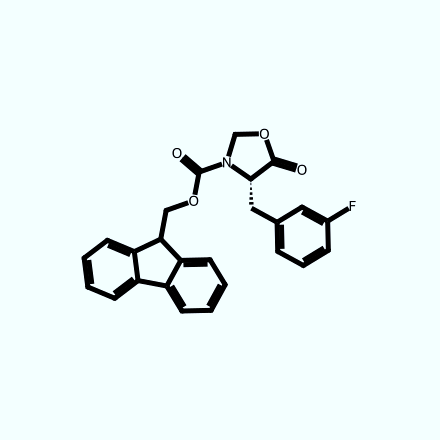 O=C1OCN(C(=O)OCC2c3ccccc3-c3ccccc32)[C@H]1Cc1cccc(F)c1